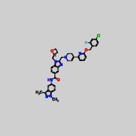 Cc1nn(C)c2ccc(NC(=O)c3ccc4c(c3)nc(CN3CC=C(c5cccc(OCc6ccc(Cl)cc6F)n5)CC3)n4C[C@@H]3CCO3)cc12